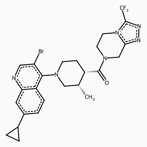 C[C@@H]1CN(c2c(Br)cnc3cc(C4CC4)ccc23)CC[C@@H]1C(=O)N1CCn2c(nnc2C(F)(F)F)C1